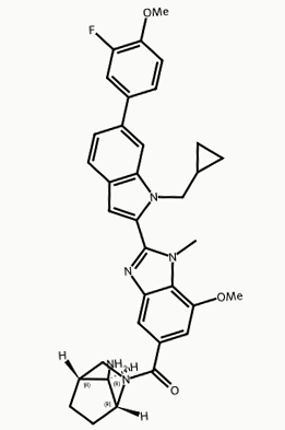 COc1ccc(-c2ccc3cc(-c4nc5cc(C(=O)N6C[C@H]7CC[C@@H]6[C@@H]7N)cc(OC)c5n4C)n(CC4CC4)c3c2)cc1F